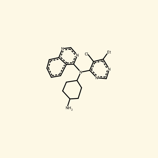 CCc1ncnc(N(c2ncnc3ccccc23)C2CCC(N)CC2)c1Cl